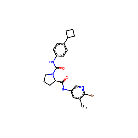 Cc1cc(NC(=O)[C@H]2CCCN2C(=O)Nc2ccc(C3CCC3)cc2)cnc1Br